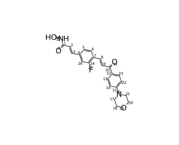 O=C(C=Cc1ccc(C=CC(=O)c2ccc(N3CCOCC3)cc2)c(F)c1)NO